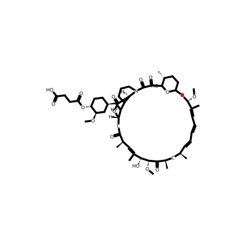 CO[C@H]1C[C@@H]2CC[C@@H](C)[C@@](O)(O2)C(=O)C(=O)N2CCCC3[C@H]2C(=O)O[C@@H](CC(=O)[C@H](C)/C=C(\C)[C@@H](O)[C@@H](OC)C(=O)[C@H](C)C[C@H](C)/C=C/C=C/C=C/1C)[C@H]3C[C@@H]1CC[C@@H](OC(=O)CCC(=O)O)[C@H](OC)C1